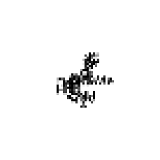 C=CC(=O)Nc1cccc(Nc2nc(Nc3ccc(N4CCN(C)CC4)cc3OC)ncc2Cl)c1